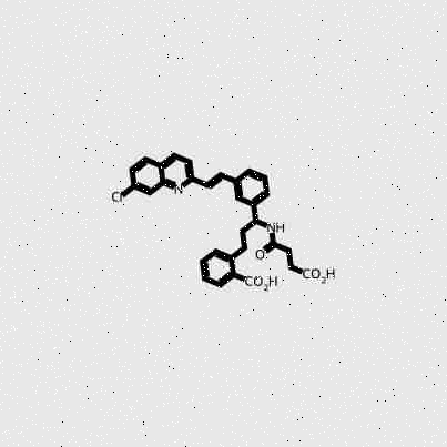 O=C(O)CCC(=O)NC(CCc1ccccc1C(=O)O)c1cccc(/C=C/c2ccc3ccc(Cl)cc3n2)c1